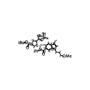 COCCCn1cc(C)c2ccc(C(=O)N(C[C@@H]3CN(C(=O)OC(C)(C)C)C[C@H]3C(O[SiH](C)C)C(C)(C)C)C(C)C)cc21